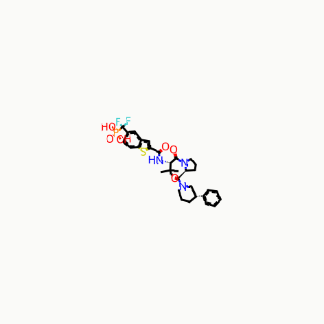 CC(C)(C)[C@H](NC(=O)c1cc2cc(C(F)(F)P(=O)(O)O)ccc2s1)C(=O)N1CCC[C@H]1C(=O)N1CCC[C@@H](c2ccccc2)C1